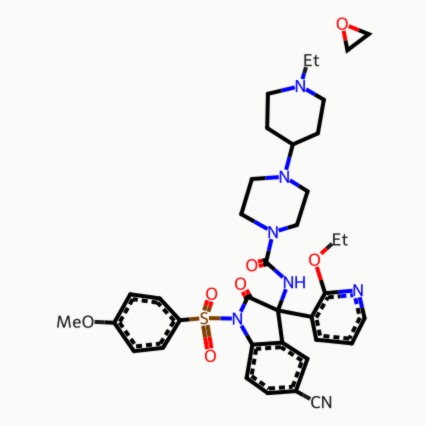 C1CO1.CCOc1ncccc1C1(NC(=O)N2CCN(C3CCN(CC)CC3)CC2)C(=O)N(S(=O)(=O)c2ccc(OC)cc2)c2ccc(C#N)cc21